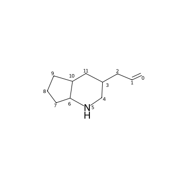 C=CCC1CNC2CCCC2C1